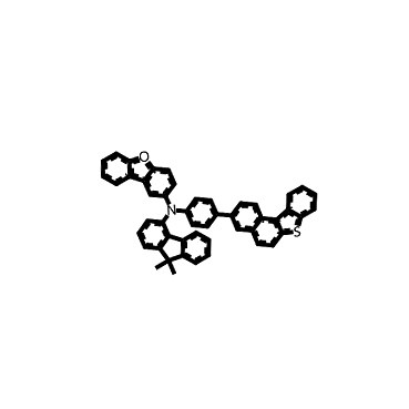 CC1(C)c2ccccc2-c2c(N(c3ccc(-c4ccc5c(ccc6sc7ccccc7c65)c4)cc3)c3ccc4oc5ccccc5c4c3)cccc21